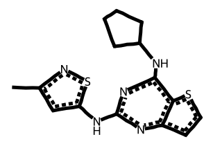 Cc1cc(Nc2nc(NC3CCCC3)c3sccc3n2)sn1